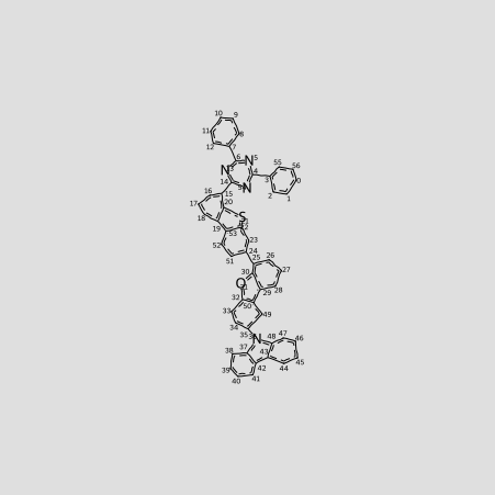 c1ccc(-c2nc(-c3ccccc3)nc(-c3cccc4c3sc3cc(-c5cccc6c5oc5ccc(-n7c8ccccc8c8ccccc87)cc56)ccc34)n2)cc1